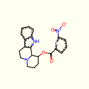 O=C(OC1CCCN2CCc3c([nH]c4ccccc34)C12)c1cccc([N+](=O)[O-])c1